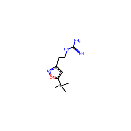 [CH3][Sn]([CH3])([CH3])[c]1cc(CCNC(=N)N)no1